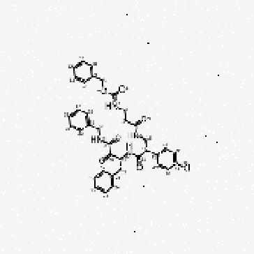 O=C(CCNC(=O)OCc1ccccc1)NC[C@H](C(=O)N[C@@H](Cc1ccccc1)C(=O)C(=O)NCc1ccccc1)c1ccc(Cl)cc1